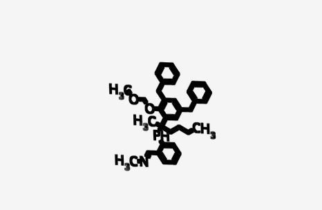 CCCCC(C)(Pc1ccccc1/C=N/C)c1cc(Cc2ccccc2)cc(Cc2ccccc2)c1OCOC